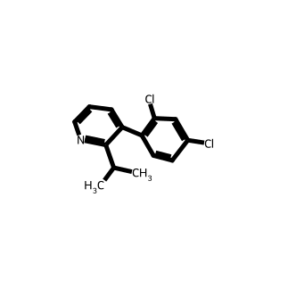 CC(C)c1ncccc1-c1ccc(Cl)cc1Cl